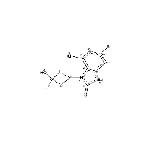 CC1(O)CC(n2c(=O)[nH]c3cc(Br)cc(Cl)c32)C1